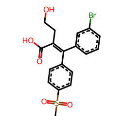 CS(=O)(=O)c1ccc(C(=C(CCO)C(=O)O)c2cccc(Br)c2)cc1